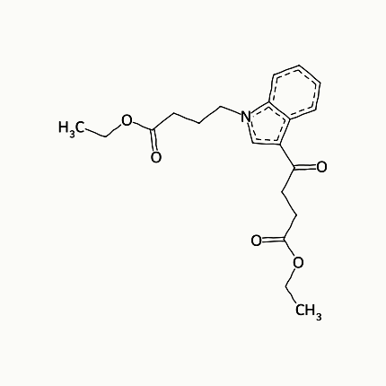 CCOC(=O)CCCn1cc(C(=O)CCC(=O)OCC)c2ccccc21